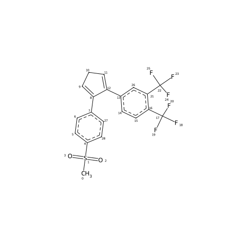 CS(=O)(=O)c1ccc(C2=CCC=C2c2ccc(C(F)(F)F)c(C(F)(F)F)c2)cc1